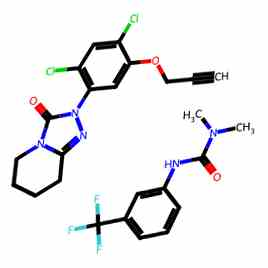 C#CCOc1cc(-n2nc3n(c2=O)CCCC3)c(Cl)cc1Cl.CN(C)C(=O)Nc1cccc(C(F)(F)F)c1